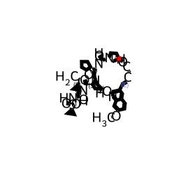 C=C[C@@H]1C[C@]1(NC(=O)[C@@H]1C[C@@H]2CN1C(=O)[C@H](C1CCCC1)NC(=O)N1CC[C@@H](C1)OCCC/C=C/c1cc3ccc(OC)cc3nc1O2)C(=O)NS(=O)(=O)C1CC1